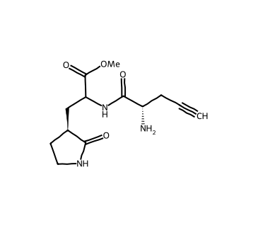 C#CC[C@H](N)C(=O)NC(C[C@@H]1CCNC1=O)C(=O)OC